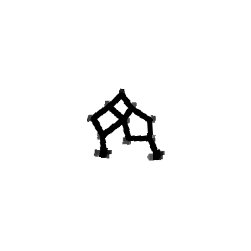 BrC1CC2CC3CC(Br)C23C1